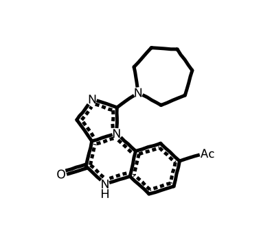 CC(=O)c1ccc2[nH]c(=O)c3cnc(N4CCCCCC4)n3c2c1